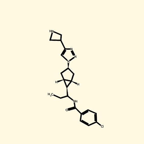 CCC(NC(=O)c1ccc(Cl)cc1)[C@H]1[C@@H]2C[C@@H](n3cc(C4CNC4)nn3)C[C@@H]21